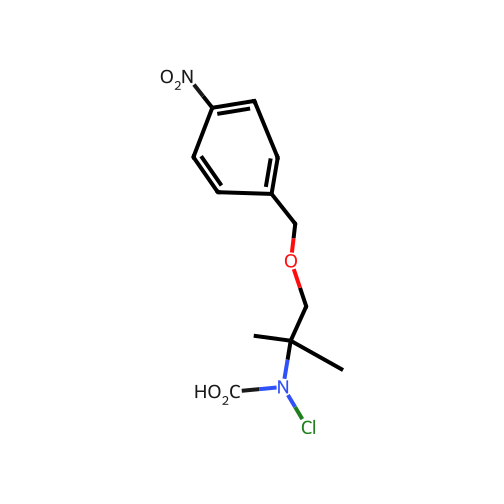 CC(C)(COCc1ccc([N+](=O)[O-])cc1)N(Cl)C(=O)O